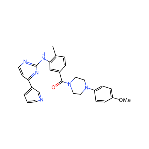 COc1ccc(N2CCN(C(=O)c3ccc(C)c(Nc4nccc(-c5cccnc5)n4)c3)CC2)cc1